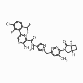 Cc1cc(Cn2cc(NC(=O)c3nc(-c4c(C(F)F)ccc(Cl)c4F)cnc3C)cn2)nnc1N1C[C@H]2CC[C@H]2C1=O